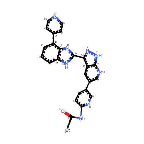 CCC(=O)Nc1ccc(-c2cnc3[nH]nc(-c4nc5c(-c6ccncc6)cccc5[nH]4)c3c2)cn1